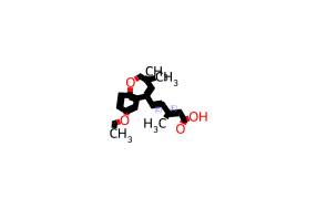 CCOc1ccc2c(c1)C(/C=C/C(C)=C/C(=O)O)=CC(C)(C)CO2